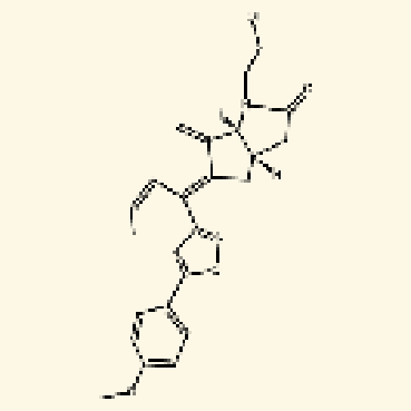 C=C1/C(=C(\C=C/C)c2noc(-c3ccc(OC)cc3)n2)C[C@H]2CC(=O)N(CCO)[C@@H]12